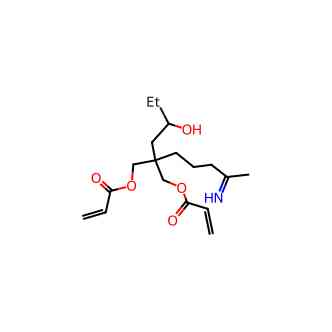 C=CC(=O)OCC(CCCC(C)=N)(COC(=O)C=C)CC(O)CC